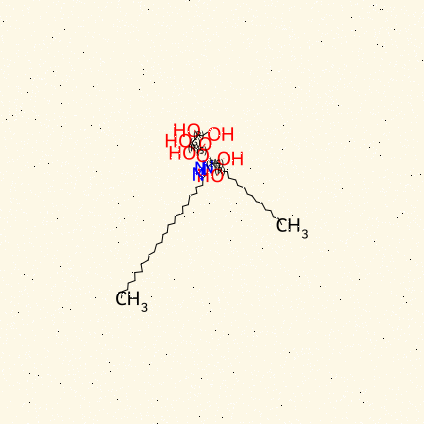 CCCCCCCCCCCCCCCCCCCCCCCCCc1cn([C@@H](CO[C@H]2OC(CO)[C@H](O)[C@H](O)[C@H]2O)[C@H](O)[C@H](O)CCCCCCCCCCCCCC)nn1